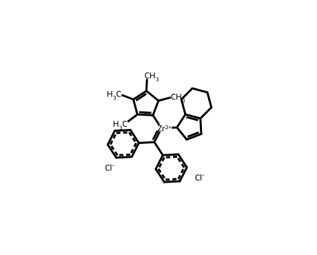 CC1=C(C)C(C)[C]([Zr+2](=[C](c2ccccc2)c2ccccc2)[CH]2C=CC3=C2CCCC3)=C1C.[Cl-].[Cl-]